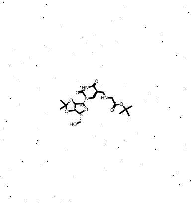 CC(C)(C)OC(=O)CNCc1cn([C@@H]2O[C@H](CO)C3OC(C)(C)OC32)c(=O)[nH]c1=O